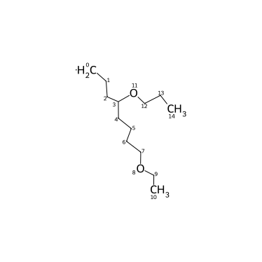 [CH2]CCC(CCCCOCC)OCCC